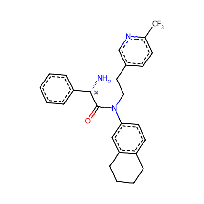 N[C@H](C(=O)N(CCc1ccc(C(F)(F)F)nc1)c1ccc2c(c1)CCCC2)c1ccccc1